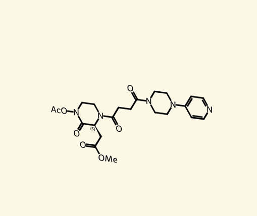 COC(=O)C[C@H]1C(=O)N(OC(C)=O)CCN1C(=O)CCC(=O)N1CCN(c2ccncc2)CC1